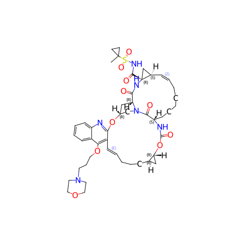 CC1(S(=O)(=O)NC(=O)[C@@]23C[C@H]2/C=C\CCCCC[C@@H]2NC(=O)O[C@@H]4C[C@H]4CCC/C=C/c4c(nc5ccccc5c4OCCCN4CCOCC4)O[C@@H]4C[C@H](C(=O)N3)N(C4)C2=O)CC1